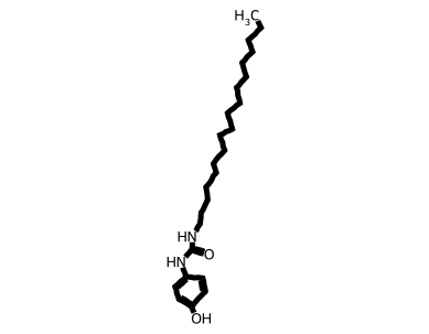 CCCCCCCCCCCCCCCCCCNC(=O)Nc1ccc(O)cc1